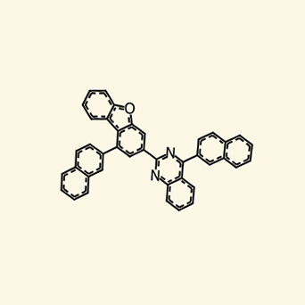 c1ccc2cc(-c3nc(-c4cc(-c5ccc6ccccc6c5)c5c(c4)oc4ccccc45)nc4ccccc34)ccc2c1